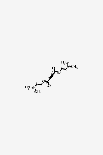 CN(C)CCOC(=O)C#CC(=O)OCCN(C)C